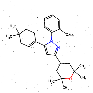 COc1ccccc1-n1nc(C2CC(C)(C)OC(C)(C)C2)cc1C1=CCC(C)(C)CC1